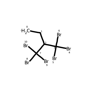 [CH2]CC(C(Br)(Br)Br)C(Br)(Br)Br